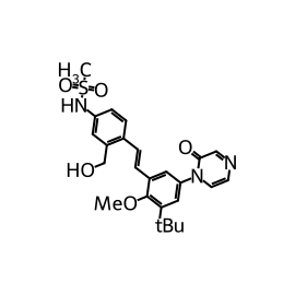 COc1c(C=Cc2ccc(NS(C)(=O)=O)cc2CO)cc(-n2ccncc2=O)cc1C(C)(C)C